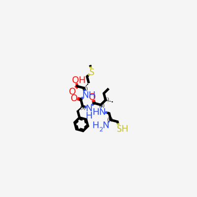 CC[C@H](C)[C@H](NC[C@@H](N)CS)C(=O)N[C@@H](Cc1ccccc1)C(=O)N[C@@H](CCSC)C(=O)O